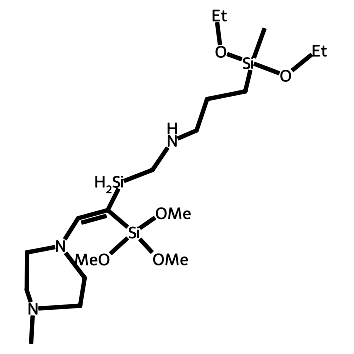 CCO[Si](C)(CCCNC[SiH2]C(=CN1CCN(C)CC1)[Si](OC)(OC)OC)OCC